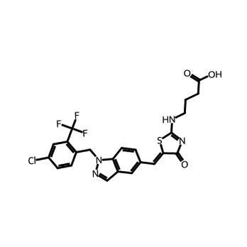 O=C(O)CCCNC1=NC(=O)/C(=C/c2ccc3c(cnn3Cc3ccc(Cl)cc3C(F)(F)F)c2)S1